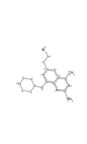 Cc1nc(N)nc2c(OC3CCOCC3)cc(CCBr)cc12